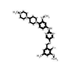 COc1cc(Nc2ncc(OCc3cc(C)cc(OC)c3F)cn2)ccc1N1CCC(N2CCN(C)CC2)CC1